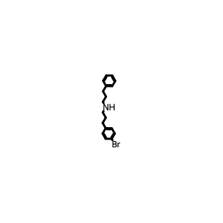 Brc1ccc(CCCNCCCc2ccccc2)cc1